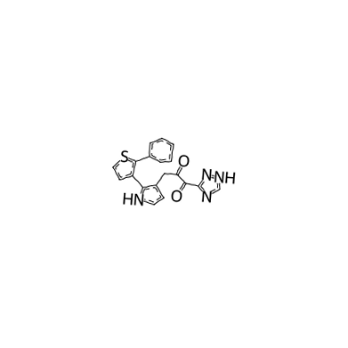 O=C(Cc1cc[nH]c1-c1ccsc1-c1ccccc1)C(=O)c1nc[nH]n1